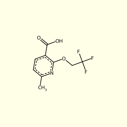 Cc1ccc(C(=O)O)c(OCC(F)(F)F)n1